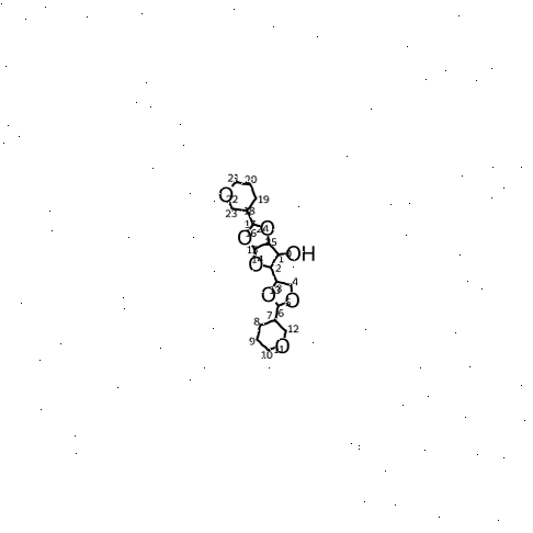 OC1C(C2COC(C3CCCOC3)O2)OC2OC(C3CCCOC3)OC21